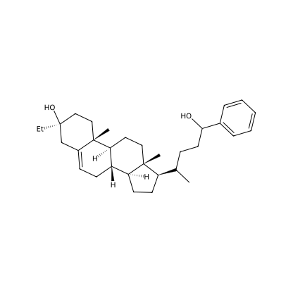 CC[C@]1(O)CC[C@@]2(C)C(=CC[C@H]3[C@@H]4CC[C@H](C(C)CCC(O)c5ccccc5)[C@@]4(C)CC[C@@H]32)C1